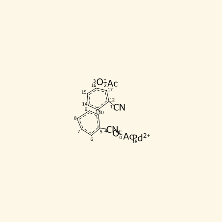 CC(=O)[O-].CC(=O)[O-].N#Cc1ccccc1.N#Cc1ccccc1.[Pd+2]